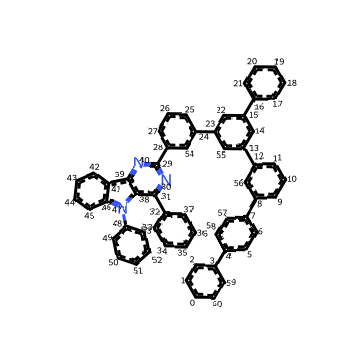 c1ccc(-c2ccc(-c3cccc(-c4cc(-c5ccccc5)cc(-c5cccc(-c6nc(-c7ccccc7)c7c(n6)c6ccccc6n7-c6ccccc6)c5)c4)c3)cc2)cc1